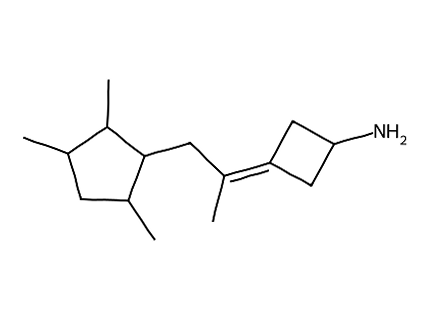 CC(CC1C(C)CC(C)C1C)=C1CC(N)C1